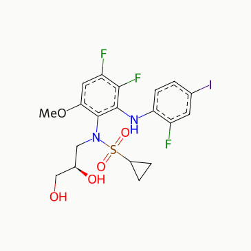 COc1cc(F)c(F)c(Nc2ccc(I)cc2F)c1N(C[C@@H](O)CO)S(=O)(=O)C1CC1